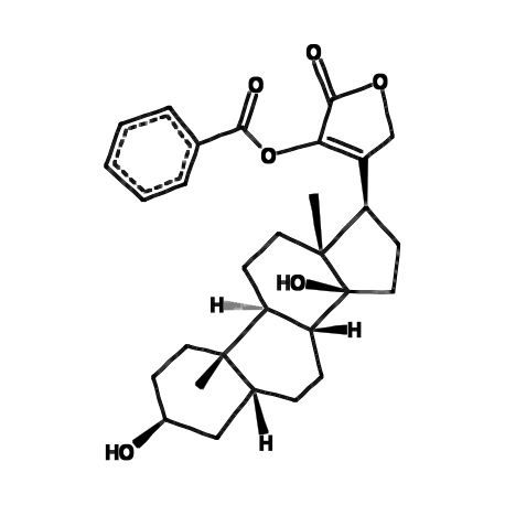 C[C@]12CC[C@H](O)C[C@H]1CC[C@@H]1[C@@H]2CC[C@]2(C)[C@@H](C3=C(OC(=O)c4ccccc4)C(=O)OC3)CC[C@]12O